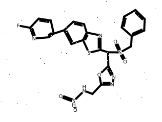 O=[SH](=O)NCc1nnc(C(c2nc3ccc(-c4ccc(F)nc4)cc3s2)S(=O)(=O)Cc2ccccc2)o1